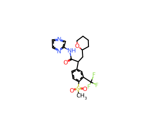 CS(=O)(=O)c1ccc(C(CC2CCCCO2)C(=O)Nc2cnccn2)cc1C(F)(F)F